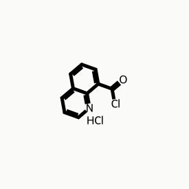 Cl.O=C(Cl)c1cccc2cccnc12